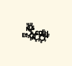 CCc1cn(Cc2ccc(F)c(F)c2)c(C(=O)O)c1-c1nccs1